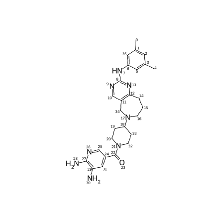 Cc1cc(C)cc(Nc2ncc3c(n2)CCCN(C2CCN(C(=O)c4cnc(N)c(N)c4)CC2)C3)c1